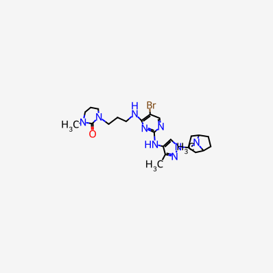 Cc1nn(C2CC3CCC(C2)N3C)cc1Nc1ncc(Br)c(NCCCN2CCCN(C)C2=O)n1